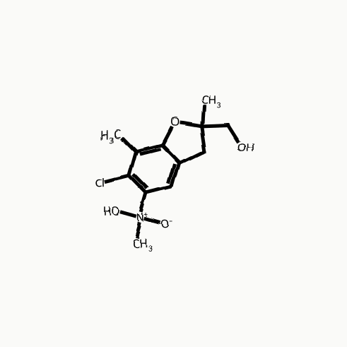 Cc1c(Cl)c([N+](C)([O-])O)cc2c1OC(C)(CO)C2